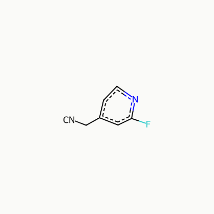 [C-]#[N+]Cc1ccnc(F)c1